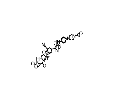 N#Cc1cc(-c2ncnc(Nc3ccc(N4CCN(C5COC5)CC4)cc3)n2)ccc1OC1CCN(C(=O)C2COC(=O)N2)CC1(F)F